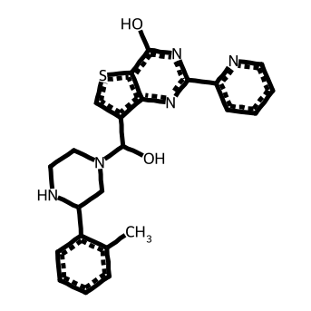 Cc1ccccc1C1CN(C(O)c2csc3c(O)nc(-c4ccccn4)nc23)CCN1